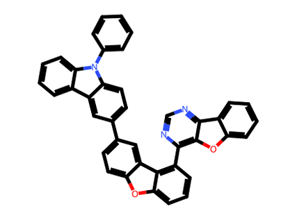 c1ccc(-n2c3ccccc3c3cc(-c4ccc5oc6cccc(-c7ncnc8c7oc7ccccc78)c6c5c4)ccc32)cc1